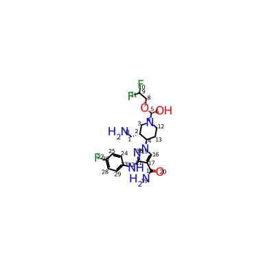 NC[C@@H]1CN([C@H](O)OCC(F)F)CC[C@H]1n1cc(C(N)=O)c(Nc2ccc(F)cc2)n1